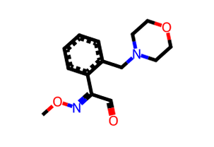 CO/N=C(/C=O)c1ccccc1CN1CCOCC1